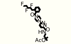 CC(=O)OC(C)(C)CCNC(=O)c1ccc(N2CCN(C(=O)c3ccccc3CC(F)C(F)CCF)CC2)nn1